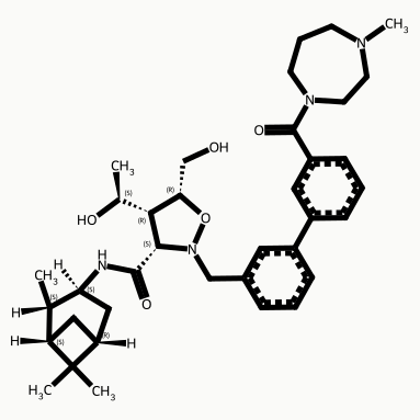 C[C@@H]1[C@@H](NC(=O)[C@@H]2[C@H]([C@H](C)O)[C@H](CO)ON2Cc2cccc(-c3cccc(C(=O)N4CCCN(C)CC4)c3)c2)C[C@H]2C[C@@H]1C2(C)C